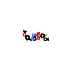 N#Cc1cc(S(=O)(=O)N[C@@H]2CCN(Cc3ccc(OC4CC4)cc3)C2)ccc1F